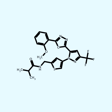 COc1ccccc1-c1nnc(-c2cc(C(F)(F)F)nn2-c2csc(CNC(=O)C(C)C)c2)o1